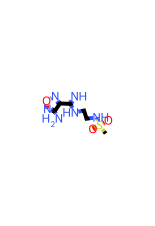 CS(=O)(=O)NCCNC(=N)c1nonc1N